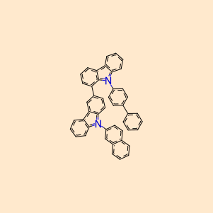 c1ccc(-c2ccc(-n3c4ccccc4c4cccc(-c5ccc6c(c5)c5ccccc5n6-c5ccc6ccccc6c5)c43)cc2)cc1